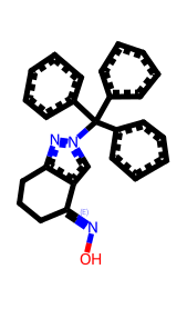 O/N=C1\CCCc2nn(C(c3ccccc3)(c3ccccc3)c3ccccc3)cc21